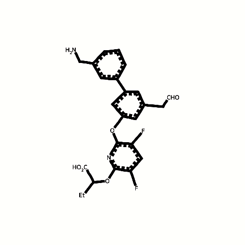 CCC(Oc1nc(Oc2cc(CC=O)cc(-c3cccc(CN)c3)c2)c(F)cc1F)C(=O)O